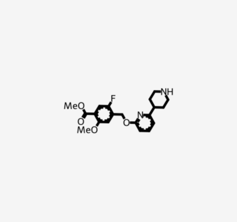 COC(=O)c1cc(F)c(COc2cccc(C3CCNCC3)n2)cc1OC